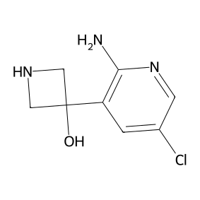 Nc1ncc(Cl)cc1C1(O)CNC1